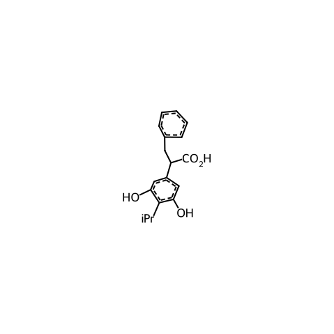 CC(C)c1c(O)cc(C(Cc2ccccc2)C(=O)O)cc1O